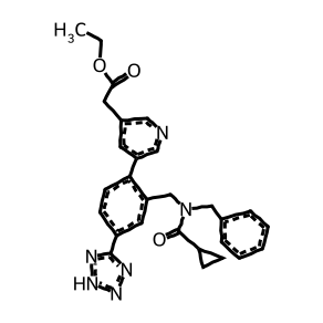 CCOC(=O)Cc1cncc(-c2ccc(-c3nn[nH]n3)cc2CN(Cc2ccccc2)C(=O)C2CC2)c1